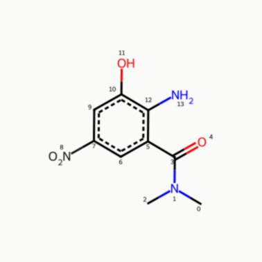 CN(C)C(=O)c1cc([N+](=O)[O-])cc(O)c1N